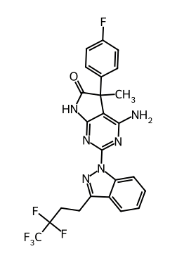 CC1(c2ccc(F)cc2)C(=O)Nc2nc(-n3nc(CCC(F)(F)C(F)(F)F)c4ccccc43)nc(N)c21